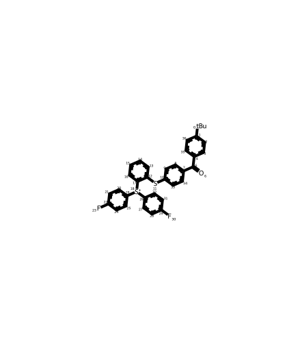 CC(C)(C)c1ccc(C(=O)c2ccc(Sc3ccccc3[S+](c3ccc(F)cc3)c3ccc(F)cc3)cc2)cc1